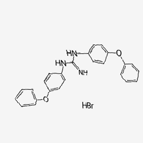 Br.N=C(Nc1ccc(Oc2ccccc2)cc1)Nc1ccc(Oc2ccccc2)cc1